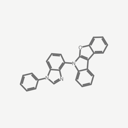 c1ccc(-n2cnc3c(-n4c5ccccc5c5c6ccccc6oc54)cccc32)cc1